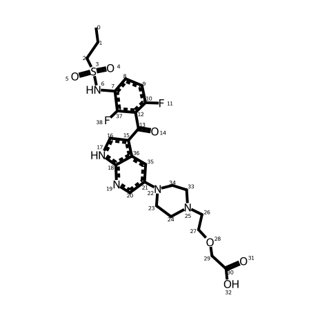 CCCS(=O)(=O)Nc1ccc(F)c(C(=O)c2c[nH]c3ncc(N4CCN(CCOCC(=O)O)CC4)cc23)c1F